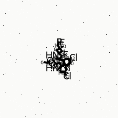 CCOC(=O)[C@@H]1NC2(CC(CF)(CF)C2)C[C@]1(c1cccc(Cl)c1F)C1C(=O)Nc2cc(Cl)ccc21